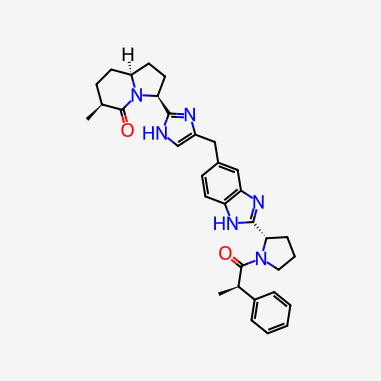 C[C@H]1CC[C@H]2CC[C@@H](c3nc(Cc4ccc5[nH]c([C@@H]6CCCN6C(=O)[C@H](C)c6ccccc6)nc5c4)c[nH]3)N2C1=O